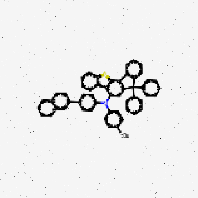 CC(C)(C)c1ccc(N(c2ccc(-c3ccc4ccccc4c3)cc2)c2cc3c(c4sc5ccccc5c24)-c2ccccc2C3(c2ccccc2)c2ccccc2)cc1